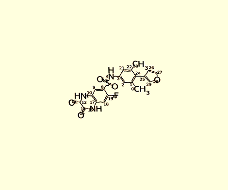 Cc1cc(NS(=O)(=O)c2cc3[nH]c(=O)c(=O)[nH]c3cc2F)cc(C)c1-c1ccoc1